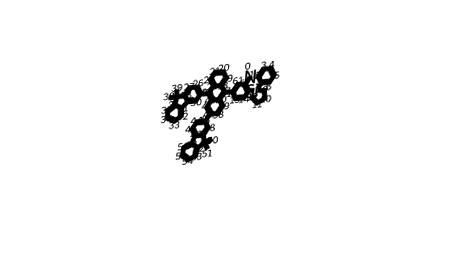 CN1c2ccccc2[Si]2(CCCC2)c2ccc(-c3c4ccccc4c(-c4ccc5c(c4)-c4ccccc4C5(C)C)c4cc(-c5ccc6c(c5)C(C)(C)c5ccccc5-6)ccc34)cc21